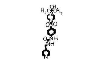 CC(C)(C)N1CCN(S(=O)(=O)c2ccc(NC(=O)NCc3ccncc3)cc2)CC1